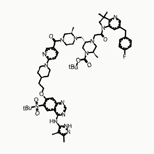 Cc1n[nH]c(Nc2ncnc3cc(OCCC4CCN(c5ccc(C(=O)N6CCN(C[C@H]7CN(C(=O)OC(C)(C)C)[C@H](C)CN7CC(=O)N7CC(C)(C)c8ncc(Cc9ccc(F)cc9)cc87)[C@H](C)C6)cn5)CC4)c(S(=O)(=O)C(C)(C)C)cc23)c1C